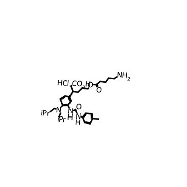 Cc1ccc(NC(=O)Nc2cc(C(CCCOC(=O)CCCCN)CC(=O)O)ccc2N(CC(C)C)CC(C)C)cc1.Cl